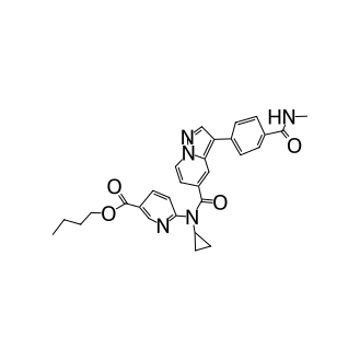 CCCCOC(=O)c1ccc(N(C(=O)c2ccn3ncc(-c4ccc(C(=O)NC)cc4)c3c2)C2CC2)nc1